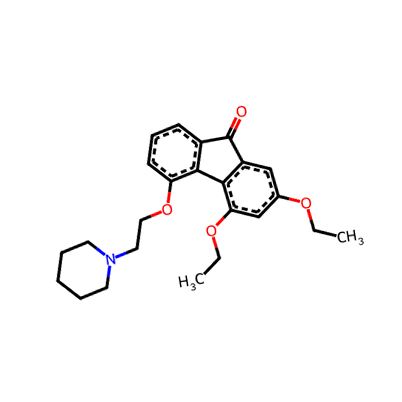 CCOc1cc(OCC)c2c(c1)C(=O)c1cccc(OCCN3CCCCC3)c1-2